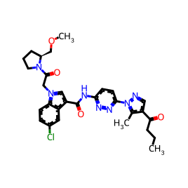 CCCC(=O)c1cnn(-c2ccc(NC(=O)c3cn(CC(=O)N4CCC[C@H]4COC)c4ccc(Cl)cc34)nn2)c1C